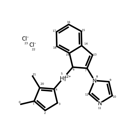 CC1=CC[C]([Hf+2][CH]2C(n3ccnc3)=Cc3ccccc32)=C1C.[Cl-].[Cl-]